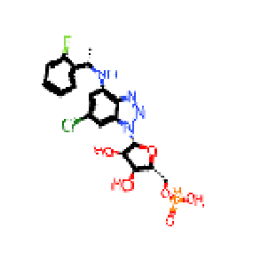 C[C@H](Nc1cc(Cl)cc2c1nnn2[C@@H]1O[C@H](CO[PH](=O)O)[C@@H](O)[C@H]1O)c1ccccc1F